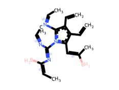 B/C(C)=C/c1c(C=C)c(C=C)c(/N=C\C)n1C(/N=C\C)=N/C(B)=C\C